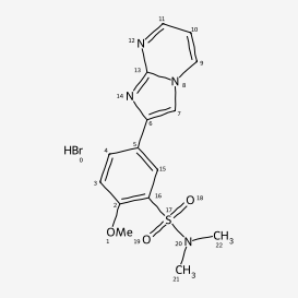 Br.COc1ccc(-c2cn3cccnc3n2)cc1S(=O)(=O)N(C)C